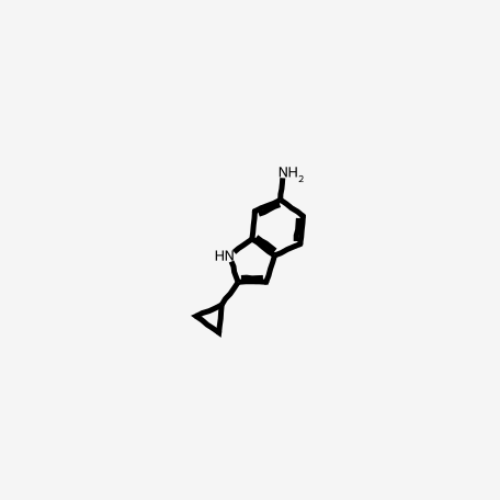 Nc1ccc2cc(C3CC3)[nH]c2c1